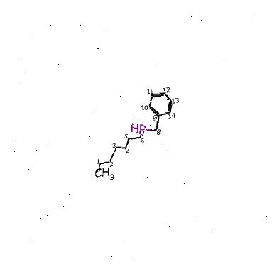 CCCCCCCPCc1ccccc1